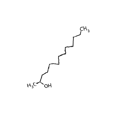 CCCCCCCCCCC[C@H](C)O